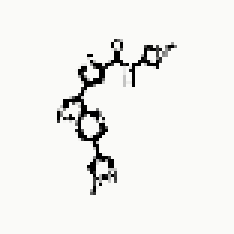 CN1CC(NC(=O)c2cc(-c3cnn4cc(-c5cnn(C)c5)cnc34)cs2)C1